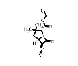 CC1(C)S[C@@H]2C(=[N+]=[N-])C(=O)N2[C@H]1C(=O)OCCl